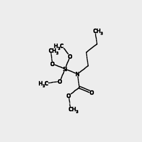 CCCCN(C(=O)OC)[Si](OC)(OC)OC